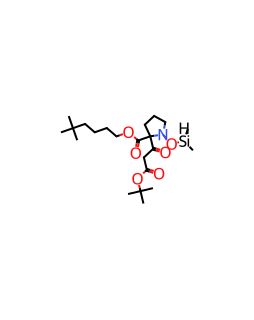 C[SiH](C)ON1CCCC1(C(=O)CC(=O)OC(C)(C)C)C(=O)OCCCCC(C)(C)C